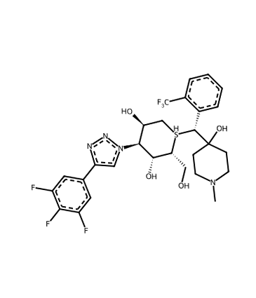 CN1CCC(O)([C@@H](c2ccccc2C(F)(F)F)[SH]2C[C@H](O)[C@H](n3cc(-c4cc(F)c(F)c(F)c4)nn3)[C@@H](O)[C@H]2CO)CC1